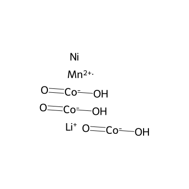 [Li+].[Mn+2].[Ni].[O]=[Co-][OH].[O]=[Co-][OH].[O]=[Co-][OH]